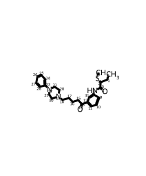 CCC(SC)C(=O)Nc1cccc(C(=O)CCCCN2CCN(c3ccccc3)CC2)c1